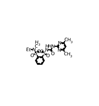 CCN(C)S(=O)(=O)c1ccccc1S(=O)(=O)NC(=O)Nc1nc(C)cc(C)n1